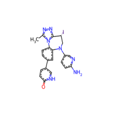 Cc1nnc2n1-c1ccc(-c3ccc(=O)[nH]c3)cc1N(c1ccc(N)nc1)C[C@H]2I